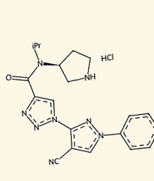 CC(C)N(C(=O)c1cn(-c2nn(-c3ccccc3)cc2C#N)nn1)[C@H]1CCNC1.Cl